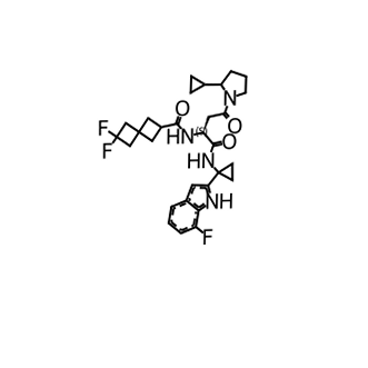 O=C(N[C@@H](CC(=O)N1CCCC1C1CC1)C(=O)NC1(c2cc3cccc(F)c3[nH]2)CC1)C1CC2(C1)CC(F)(F)C2